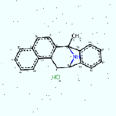 CC12NC(Cc3c1ccc1ccccc31)c1ccccc12.Cl